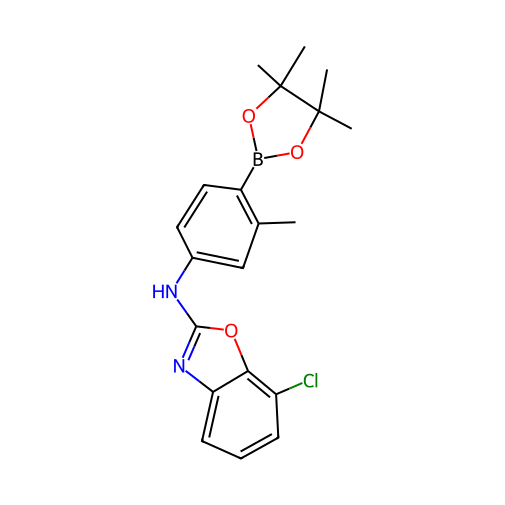 Cc1cc(Nc2nc3cccc(Cl)c3o2)ccc1B1OC(C)(C)C(C)(C)O1